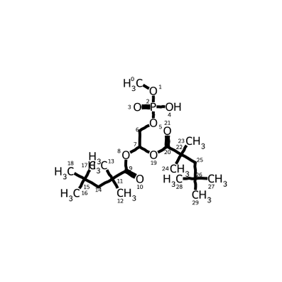 COP(=O)(O)OCC(OC(=O)C(C)(C)CC(C)(C)C)OC(=O)C(C)(C)CC(C)(C)C